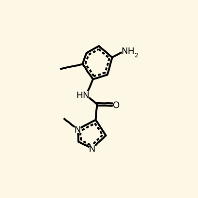 Cc1ccc(N)cc1NC(=O)c1cncn1C